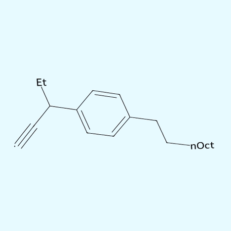 [C]#CC(CC)c1ccc(CCCCCCCCCC)cc1